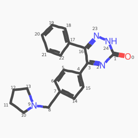 O=c1nc(-c2ccc(CN3CCCC3)cc2)c(-c2ccccc2)n[nH]1